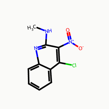 CNc1nc2ccccc2c(Cl)c1[N+](=O)[O-]